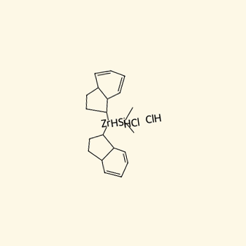 C[SiH](C)[Zr]([CH]1CCC2C=CC=CC21)[CH]1CCC2C=CC=CC21.Cl.Cl